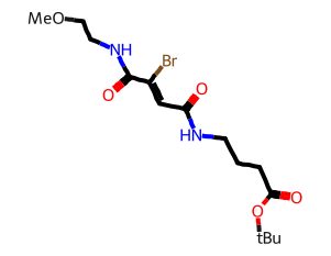 COCCNC(=O)C(Br)=CC(=O)NCCCC(=O)OC(C)(C)C